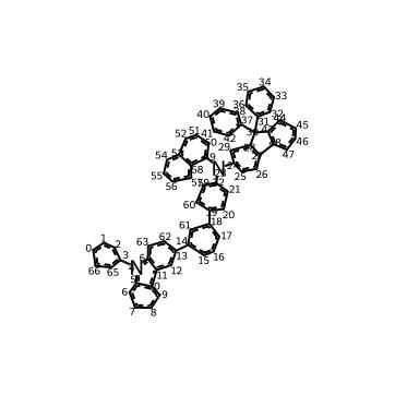 c1ccc(-n2c3ccccc3c3cc(-c4cccc(-c5ccc(N(c6ccc7c(c6)C(c6ccccc6)(c6ccccc6)c6ccccc6-7)c6cccc7ccccc67)cc5)c4)ccc32)cc1